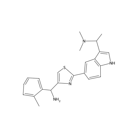 Cc1ccccc1C(N)c1csc(-c2ccc3[nH]cc(C(C)N(C)C)c3c2)n1